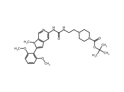 COc1cccc(OC)c1-c1cc2cc(NC(=O)NCCN3CCN(C(=O)OC(C)(C)C)CC3)ncc2n1C